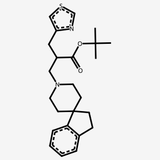 CC(C)(C)OC(=O)C(Cc1cscn1)CN1CCC2(CCc3ccccc32)CC1